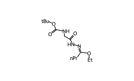 CCC/C(=N\NC(=O)CNC(=O)OC(C)(C)C)OCC